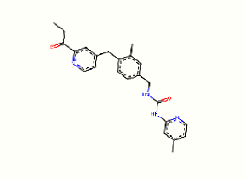 CCC(=O)c1cc(Cc2ccc(CNC(=O)Nc3cc(C)ccn3)cc2C)ccn1